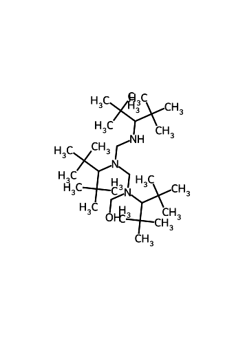 CC(C)(C)C(NCN(CN(CO)C(C(C)(C)C)C(C)(C)C)C(C(C)(C)C)C(C)(C)C)C(C)(C)C